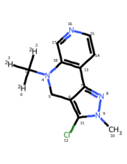 [2H]C([2H])([2H])N1Cc2c(nn(C)c2Cl)-c2ccncc21